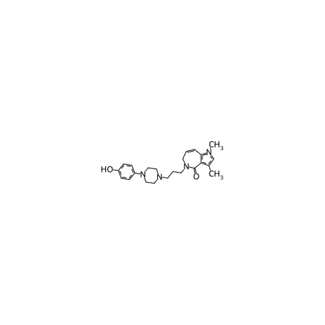 Cc1cn(C)c2c1C(=O)N(CCCN1CCN(c3ccc(O)cc3)CC1)CC=C2